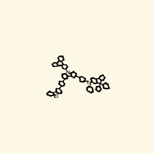 c1ccc(N(c2ccc(-c3ccc4c(c3)c3cc(-c5ccc(-c6ccc7oc8ccccc8c7c6)cc5)ccc3n4-c3ccc4c5ccccc5c5ccccc5c4c3)cc2)c2ccc3c(c2)C(c2ccccc2)(c2ccccc2)c2ccccc2-3)cc1